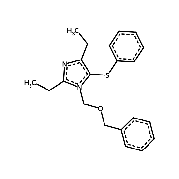 CCc1nc(CC)n(COCc2ccccc2)c1Sc1ccccc1